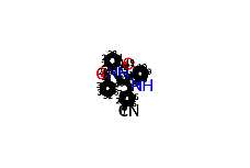 N#Cc1ccc(C2Nc3ccccc3C3C2CCN3C(=O)[C@H]2CCCC[C@H]2NC(=O)c2ccccc2)cc1